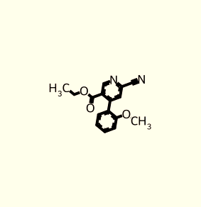 CCOC(=O)c1cnc(C#N)cc1-c1ccccc1OC